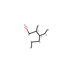 CCCC(CC)C(C)C[O]